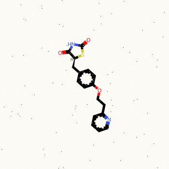 O=C1NC(=O)[C@H](Cc2ccc(OCCc3ccccn3)cc2)S1